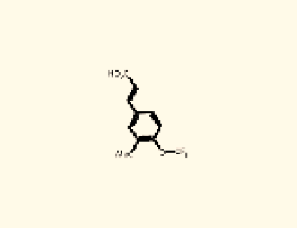 COc1cc(/C=C/C(=O)O)ccc1OC(F)(F)F